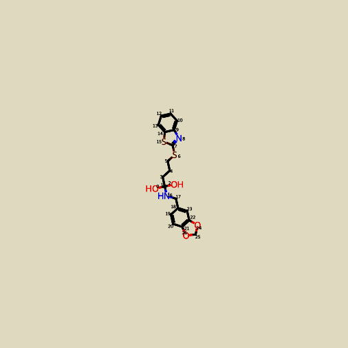 OC(O)(CCCSc1nc2ccccc2s1)NCc1ccc2c(c1)OCO2